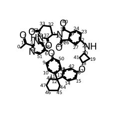 CC(=O)c1ncc(Oc2ccc(C3(c4ccc(O[C@H]5C[C@H](Nc6ccc7c(c6)C(=O)N(C6CCC(=O)NC6=O)C7=O)C5)cc4)CCCCC3)cc2)cn1